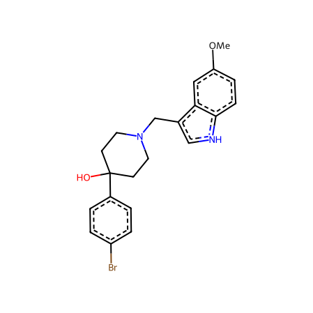 COc1ccc2[nH]cc(CN3CCC(O)(c4ccc(Br)cc4)CC3)c2c1